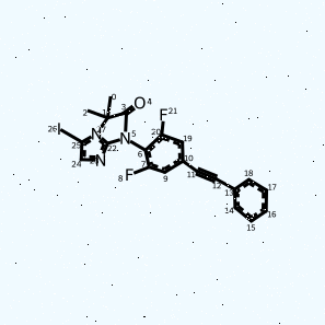 CC1(C)C(=O)N(c2c(F)cc(C#Cc3ccccc3)cc2F)c2ncc(I)n21